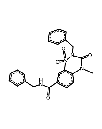 CN1C(=O)N(Cc2ccccc2)S(=O)(=O)c2cc(C(=O)NCc3ccccc3)ccc21